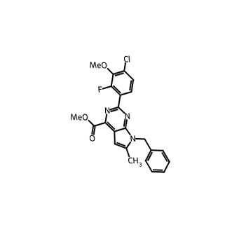 COC(=O)c1nc(-c2ccc(Cl)c(OC)c2F)nc2c1cc(C)n2Cc1ccccc1